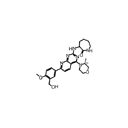 COc1ccc(-c2ccc3c(N4CCOC[C@@H]4C)nc(NC4CCCCNC4=O)nc3n2)cc1CO